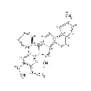 COc1ccc(N2C=CC=CC=C2C2=c3ccc4c(c3CC(C)C2)CC=c2ccc(C)cc2=4)cc1OC